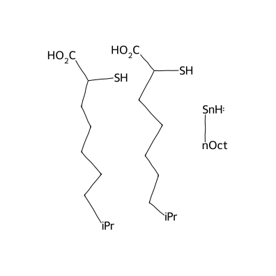 CC(C)CCCCCC(S)C(=O)O.CC(C)CCCCCC(S)C(=O)O.CCCCCCC[CH2][SnH]